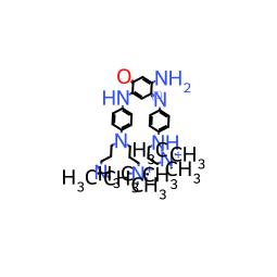 CN(C)CCCN(CCC[N+](C)(C)C)c1ccc(NC2=C/C(=N\c3ccc(NCCC[N+](C)(C)C)cc3)C(N)=CC2=O)cc1